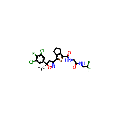 C[C@@]1(c2cc(Cl)c(F)c(Cl)c2)CC(c2sc(C(=O)NCC(=O)NCC(F)F)c3c2CCC3)=NO1